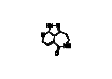 O=C1NCCC2=NNC3N=CC=C1C23